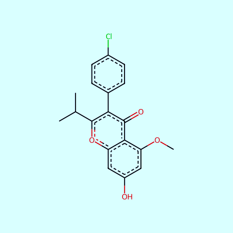 COc1cc(O)cc2oc(C(C)C)c(-c3ccc(Cl)cc3)c(=O)c12